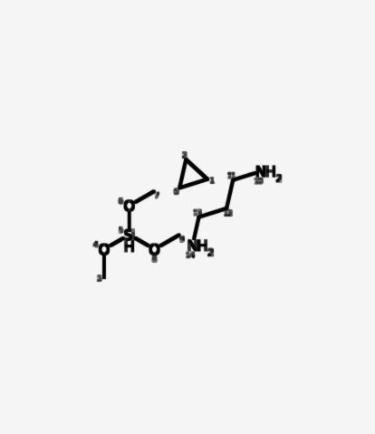 C1CC1.CO[SiH](OC)OC.NCCCN